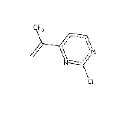 C=C(c1ccnc(Cl)n1)C(F)(F)F